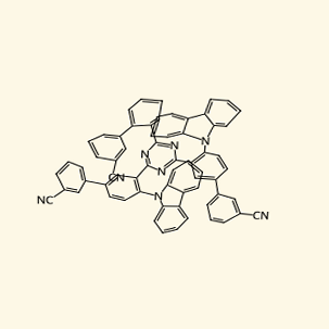 N#Cc1cccc(-c2ccc(-n3c4ccccc4c4ccccc43)c(-c3nc(-c4ccccc4-c4cccc(C#N)c4)nc(-c4cc(-c5cccc(C#N)c5)ccc4-n4c5ccccc5c5ccccc54)n3)c2)c1